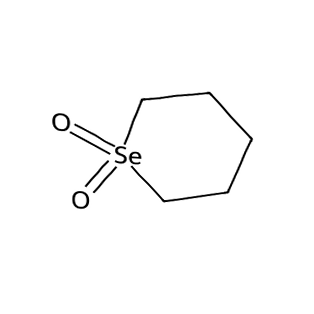 O=[Se]1(=O)CCCCC1